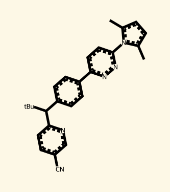 Cc1ccc(C)n1-c1ccc(-c2ccc(C(c3ccc(C#N)cn3)C(C)(C)C)cc2)nn1